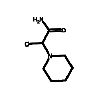 NC(=O)C(Cl)N1CCCCC1